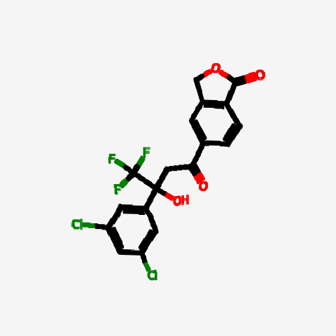 O=C(CC(O)(c1cc(Cl)cc(Cl)c1)C(F)(F)F)c1ccc2c(c1)COC2=O